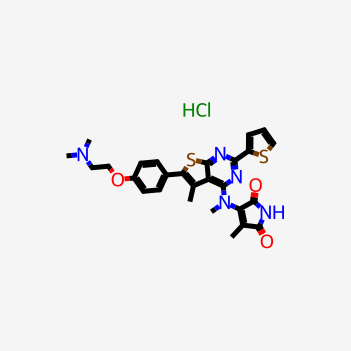 CC1=C(N(C)c2nc(-c3cccs3)nc3sc(-c4ccc(OCCN(C)C)cc4)c(C)c23)C(=O)NC1=O.Cl